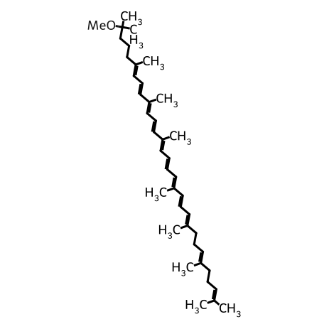 COC(C)(C)CCC/C(C)=C/C=C/C(C)=C/C=C/C(C)=C/C=C/C=C(C)/C=C/C=C(\C)CC/C=C(\C)CCC=C(C)C